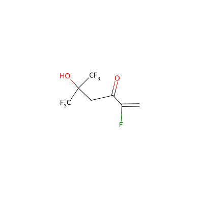 C=C(F)C(=O)CC(O)(C(F)(F)F)C(F)(F)F